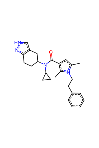 Cc1cc(C(=O)N(C2CC2)C2CCc3n[nH]cc3C2)c(C)n1CCc1ccccc1